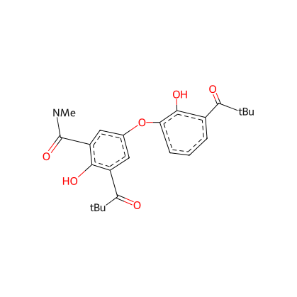 CNC(=O)c1cc(Oc2cccc(C(=O)C(C)(C)C)c2O)cc(C(=O)C(C)(C)C)c1O